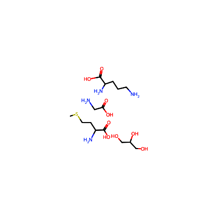 CSCCC(N)C(=O)O.NCC(=O)O.NCCCC(N)C(=O)O.OCC(O)CO